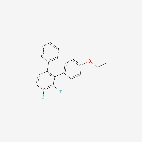 CCOc1ccc(-c2c(-c3ccccc3)ccc(F)c2F)cc1